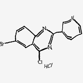 Cl.Clc1nc(-c2cccnc2)nc2ccc(Br)cc12